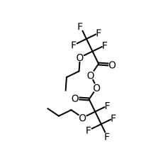 CCCOC(F)(C(=O)OOC(=O)C(F)(OCCC)C(F)(F)F)C(F)(F)F